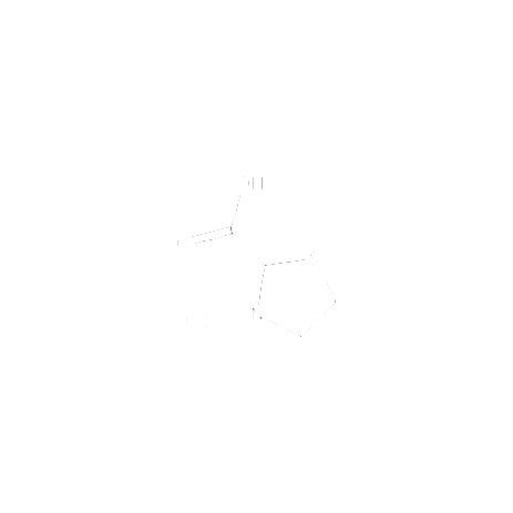 Cl.O=C(O)C1NCCS1